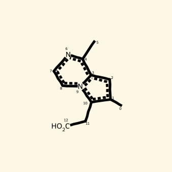 Cc1cc2c(C)nccn2c1CC(=O)O